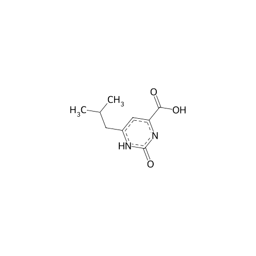 CC(C)Cc1cc(C(=O)O)nc(=O)[nH]1